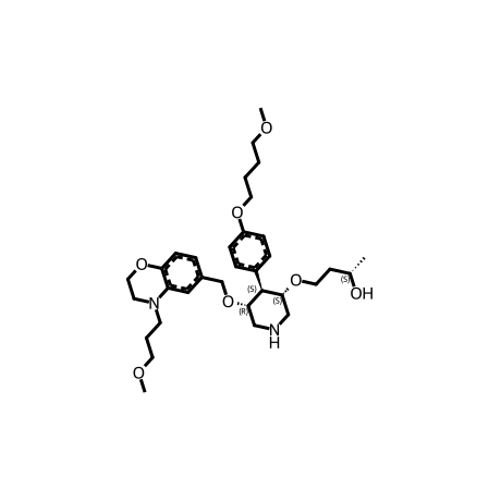 COCCCCOc1ccc([C@@H]2[C@@H](OCc3ccc4c(c3)N(CCCOC)CCO4)CNC[C@H]2OCC[C@H](C)O)cc1